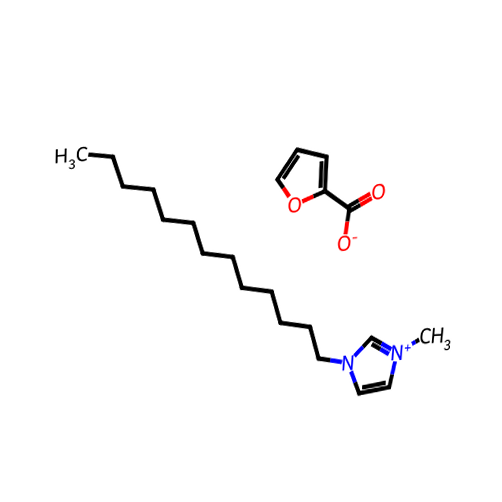 CCCCCCCCCCCCCn1cc[n+](C)c1.O=C([O-])c1ccco1